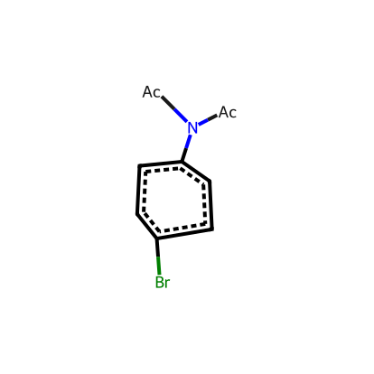 CC(=O)N(C(C)=O)c1ccc(Br)cc1